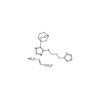 O=C(O)C=CC(=O)O.c1csc(CCCSc2nsnc2C2CN3CCC2CC3)c1